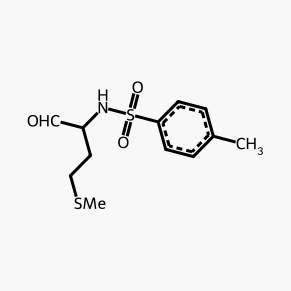 CSCCC(C=O)NS(=O)(=O)c1ccc(C)cc1